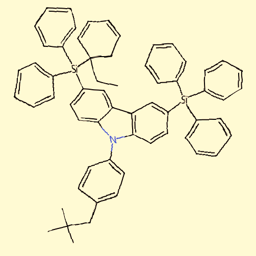 CCC1([Si](c2ccccc2)(c2ccccc2)c2ccc3c(c2)c2cc([Si](c4ccccc4)(c4ccccc4)c4ccccc4)ccc2n3-c2ccc(CC(C)(C)C)cc2)C=CC=CC1